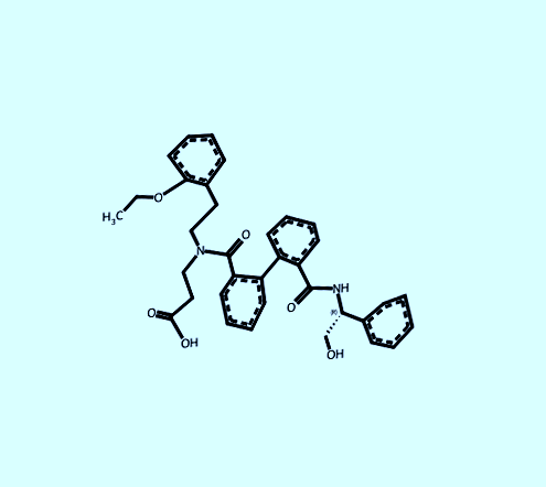 CCOc1ccccc1CCN(CCC(=O)O)C(=O)c1ccccc1-c1ccccc1C(=O)N[C@@H](CO)c1ccccc1